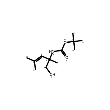 CC(C)=CC(C)(CO)NC(=O)OC(C)(C)C